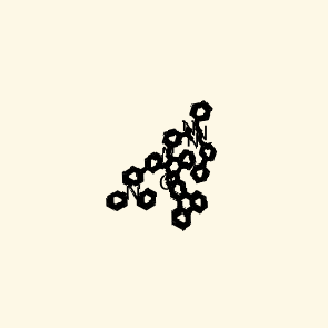 c1ccc(-c2cccc(-c3nc(-c4ccccc4)nc(-c4cccc(-n5c6ccc(-c7cccc(N(c8ccccc8)c8ccccc8)c7)cc6c6c7oc8cc9c%10ccccc%10c%10ccccc%10c9cc8c7c7ccccc7c65)c4)n3)c2)cc1